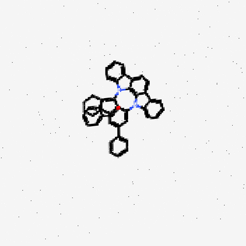 c1ccc(-c2cc(C3CCCCC3)cc(-n3c4ccccc4c4ccc5c6ccccc6n(-c6ccc7ccccc7c6)c5c43)c2)cc1